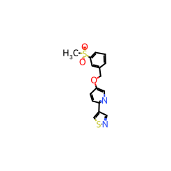 CS(=O)(=O)c1cccc(COc2ccc(-c3cnsc3)nc2)c1